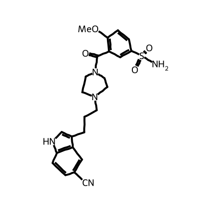 COc1ccc(S(N)(=O)=O)cc1C(=O)N1CCN(CCCc2c[nH]c3ccc(C#N)cc23)CC1